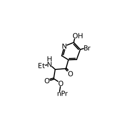 CCCOC(=O)C(NCC)C(=O)c1cnc(O)c(Br)c1